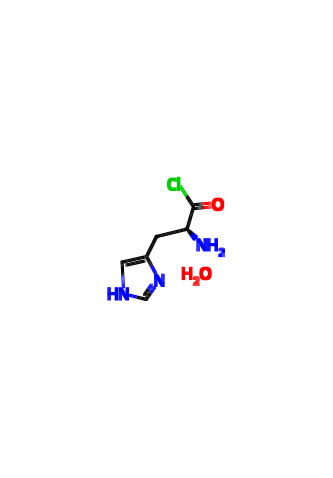 N[C@@H](Cc1c[nH]cn1)C(=O)Cl.O